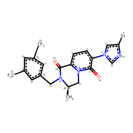 CCc1cn(-c2ccc3n(c2=O)C[C@@H](C)N(Cc2cc(C(F)(F)F)cc(C(F)(F)F)c2)C3=O)cn1